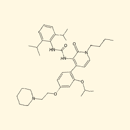 CCCCn1ccc(-c2ccc(OCCN3CCCCC3)cc2OC(C)C)c(NC(=O)Nc2c(C(C)C)cccc2C(C)C)c1=O